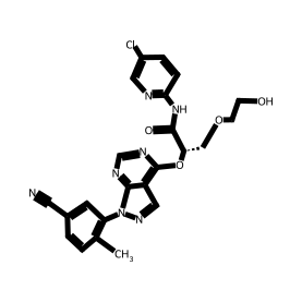 Cc1ccc(C#N)cc1-n1ncc2c(O[C@@H](COCCO)C(=O)Nc3ccc(Cl)cn3)ncnc21